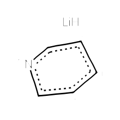 [LiH].c1ccncc1